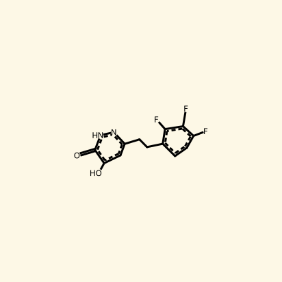 O=c1[nH]nc(CCc2ccc(F)c(F)c2F)cc1O